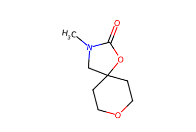 CN1CC2(CCOCC2)OC1=O